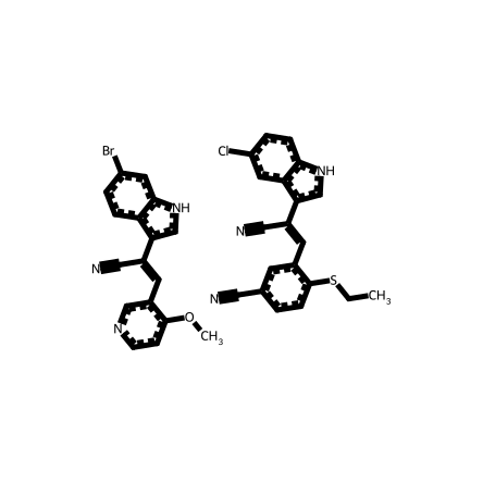 CCSc1ccc(C#N)cc1/C=C(\C#N)c1c[nH]c2ccc(Cl)cc12.COc1ccncc1/C=C(\C#N)c1c[nH]c2cc(Br)ccc12